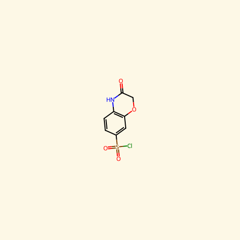 O=C1COc2cc(S(=O)(=O)Cl)ccc2N1